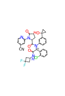 N#Cc1ccnc(N2C(=O)CCC2C(=O)N(c2cccc(C3(O)CC3)c2)[C@H](C(=O)NC2CC(F)(F)C2)c2ccccc2Cl)c1